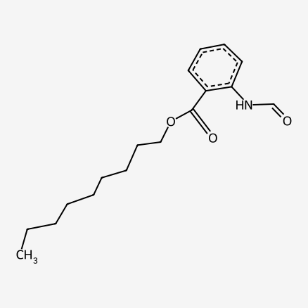 CCCCCCCCCOC(=O)c1ccccc1NC=O